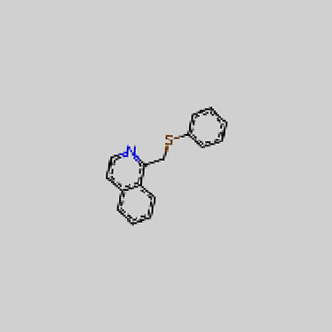 c1ccc(SCc2nccc3ccccc23)cc1